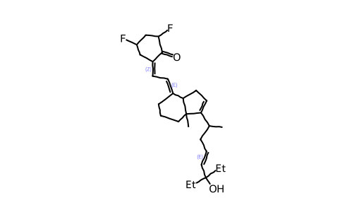 CCC(O)(/C=C/CC(C)C1=CCC2/C(=C/C=C3/CC(F)CC(F)C3=O)CCCC12C)CC